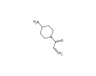 C=CC(=O)N1CCC(N)CC1